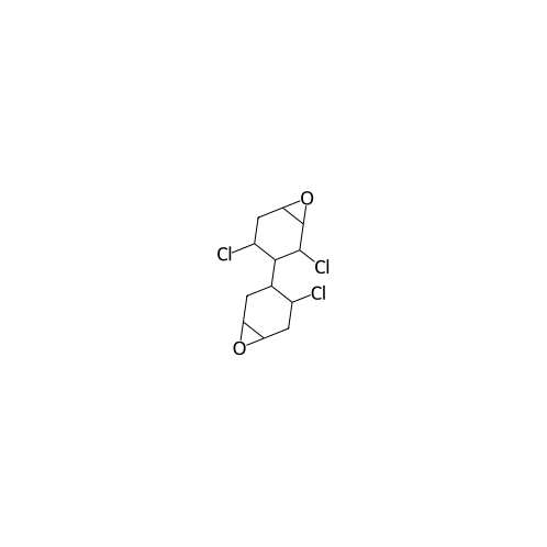 ClC1CC2OC2CC1C1C(Cl)CC2OC2C1Cl